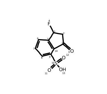 O=C1CC(F)c2cccc(S(=O)(=O)O)c21